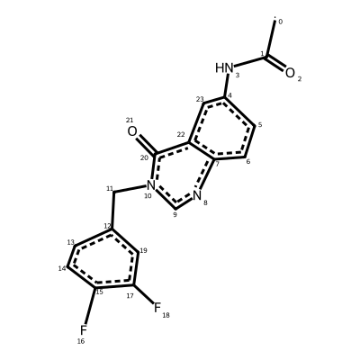 [CH2]C(=O)Nc1ccc2ncn(Cc3ccc(F)c(F)c3)c(=O)c2c1